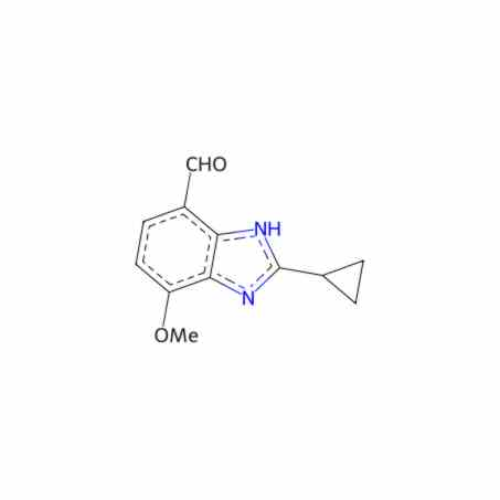 COc1ccc(C=O)c2[nH]c(C3CC3)nc12